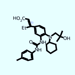 CC/C(=C\C(=O)O)c1ccc(N(CC(C)(C)O)C2CCCCC2)c(NC(=O)Nc2ccc(C)cc2)c1